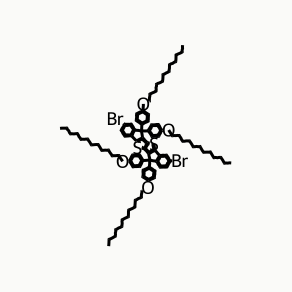 CCCCCCCCCCCCOc1ccc(C2(c3ccc(OCCCCCCCCCCCC)cc3)c3ccc(Br)cc3-c3sc4c5c(sc4c32)-c2ccc(Br)cc2C5(c2ccc(OCCCCCCCCCCCC)cc2)c2ccc(OCCCCCCCCCCCC)cc2)cc1